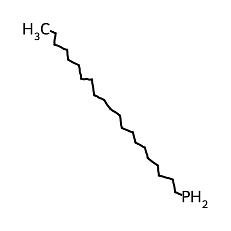 CCCCCCCCCCCCCCCCCCCCCP